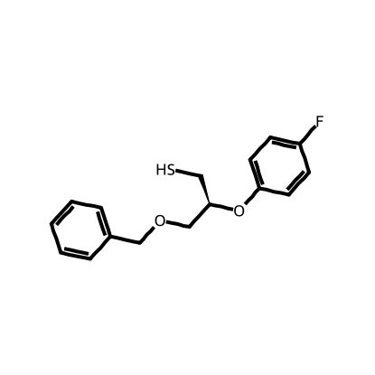 Fc1ccc(O[C@H](CS)COCc2ccccc2)cc1